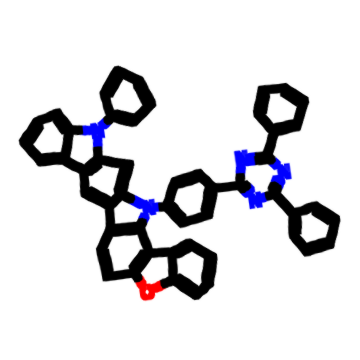 c1ccc(-c2nc(-c3ccccc3)nc(-c3ccc(-n4c5cc6c(cc5c5ccc7oc8ccccc8c7c54)c4ccccc4n6-c4ccccc4)cc3)n2)cc1